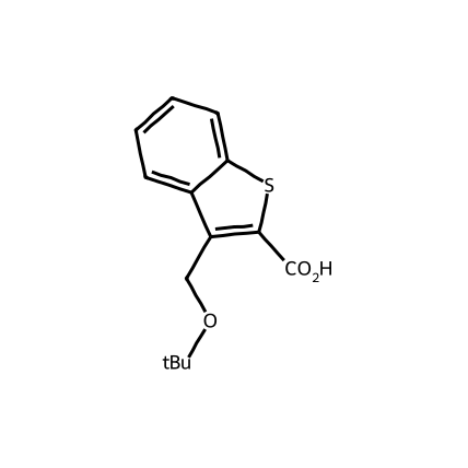 CC(C)(C)OCc1c(C(=O)O)sc2ccccc12